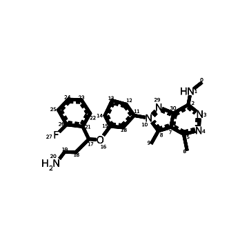 CNc1nnc(C)c2c(C)n(-c3cccc(OC(CCN)c4ccccc4F)c3)nc12